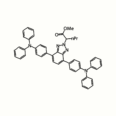 CCCC(C(=O)OC)n1nc2c(-c3ccc(N(c4ccccc4)c4ccccc4)cc3)ccc(-c3ccc(N(c4ccccc4)c4ccccc4)cc3)c2n1